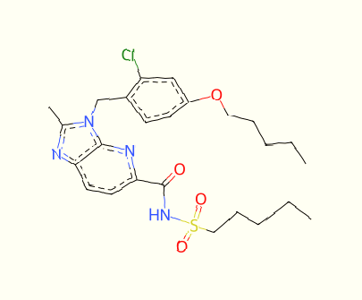 CCCCCOc1ccc(Cn2c(C)nc3ccc(C(=O)NS(=O)(=O)CCCCC)nc32)c(Cl)c1